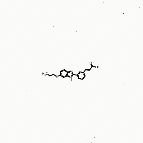 CCCSc1ccc2nc(-c3cccc(/C=C/C(C)=O)c3)[nH]c2c1